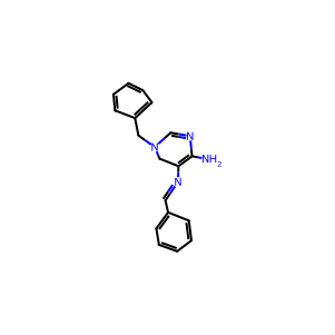 NC1=C(N=Cc2ccccc2)CN(Cc2ccccc2)C=N1